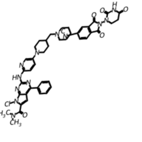 CN(C)C(=O)c1cc2c(-c3ccccc3)nc(Nc3ccc(N4CCC(CN5CC6CCC5CN6c5ccc6c(c5)C(=O)N(N5CCC(=O)NC5=O)C6=O)CC4)cn3)nc2n1Cl